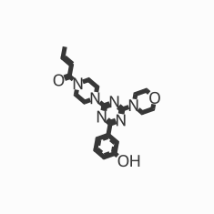 CC=CC(=O)N1CCN(c2nc(-c3cccc(O)c3)nc(N3CCOCC3)n2)CC1